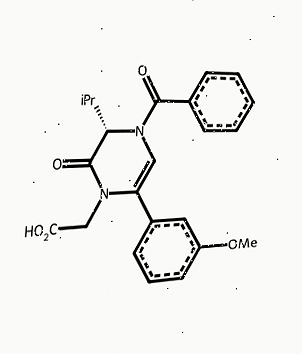 COc1cccc(C2=CN(C(=O)c3ccccc3)[C@@H](C(C)C)C(=O)N2CC(=O)O)c1